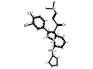 CN(C)/C=C/C(=O)c1c(-c2ccc(Cl)c(Br)c2)nn2c(NC3CCCC3)cccc12